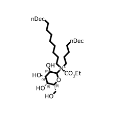 CCCCCCCCCCCCCCCCCC[N+](CCCCCCCCCCCCCC)(C(=O)OCC)C1O[C@H](CO)[C@H](O)[C@H](O)[C@H]1O